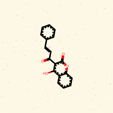 O=C(/C=C/c1ccccc1)c1c(O)c2ccccc2oc1=O